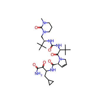 CN1CCCN(C[C@@H](NC(=O)N[C@H](C(=O)N2CC=C[C@H]2C(=O)NC(CC2CC2)C(=O)C(N)=O)C(C)(C)C)C(C)(C)C)C1=O